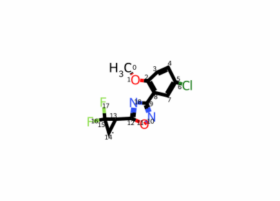 COc1ccc(Cl)cc1-c1noc(C2[CH]C2(F)F)n1